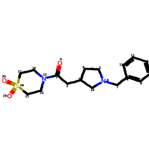 O=C(CC1CCN(Cc2ccccc2)C1)N1CCS(=O)(=O)CC1